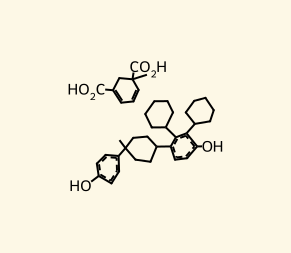 CC1(C(=O)O)C=CC=C(C(=O)O)C1.CC1(c2ccc(O)cc2)CCC(c2ccc(O)c(C3CCCCC3)c2C2CCCCC2)CC1